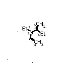 C=CN(CC)C(=C)CC